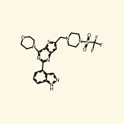 O=S(=O)(N1CCN(Cc2cc3nc(-c4cccc5[nH]ncc45)nc(N4CCOCC4)c3s2)CC1)C(F)(F)F